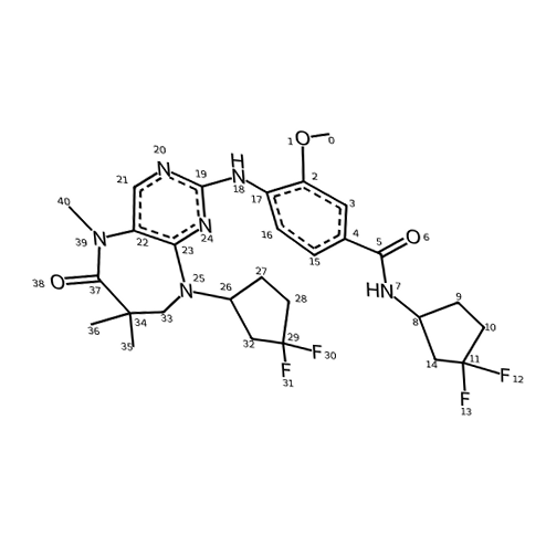 COc1cc(C(=O)NC2CCC(F)(F)C2)ccc1Nc1ncc2c(n1)N(C1CCC(F)(F)C1)CC(C)(C)C(=O)N2C